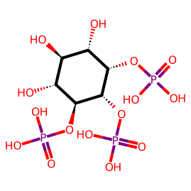 O=P(O)(O)O[C@@H]1[C@@H](OP(=O)(O)O)[C@H](O)[C@@H](O)[C@H](O)[C@@H]1OP(=O)(O)O